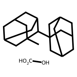 CC12CC3CC(CC(C3)C1C13CC4CC(CC(C4)C1)C3)C2.O=C(O)O